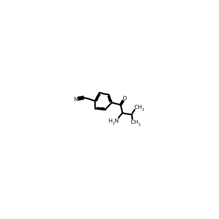 CC(C)C(N)C(=O)c1ccc(C#N)cc1